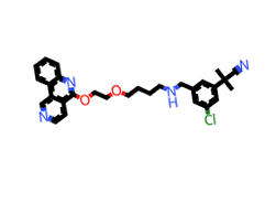 CC(C)(C#N)c1cc(Cl)cc(CNCCCCOCCOc2nc3ccccc3c3cnccc23)c1